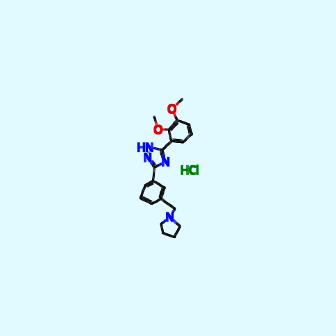 COc1cccc(-c2nc(-c3cccc(CN4CCCC4)c3)n[nH]2)c1OC.Cl